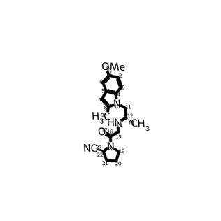 COc1ccc2c(c1)cc(C)n2C[C@H](C)NCC(=O)N1CCC[C@H]1C#N